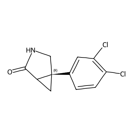 O=C1NC[C@]2(c3ccc(Cl)c(Cl)c3)CC12